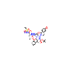 C=C[C@@H]1C[C@]1(NC(=O)[C@@H]1C[C@@H](Oc2nccc3cc(OC)ccc23)CN1C(=O)C(NC(=O)OC(C)(C)C)C(C)c1ccccc1)C(=O)NS(=O)(=O)C1CC1